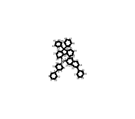 c1ccc(-c2ccc(N(c3ccc4ccc(-c5ccccc5)cc4c3)c3cccc4c3-c3ccccc3C4(c3ccccc3)c3ccccc3)cc2)cc1